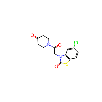 O=C1CCN(C(=O)Cn2c(=O)sc3ccc(Cl)cc32)CC1